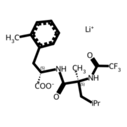 Cc1ccccc1C[C@H](NC(=O)[C@](C)(CC(C)C)NC(=O)C(F)(F)F)C(=O)[O-].[Li+]